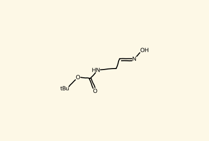 CC(C)(C)OC(=O)NCC=NO